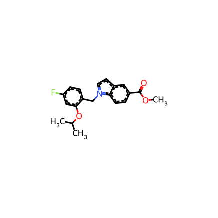 COC(=O)c1ccc2c(ccn2Cc2ccc(F)cc2OC(C)C)c1